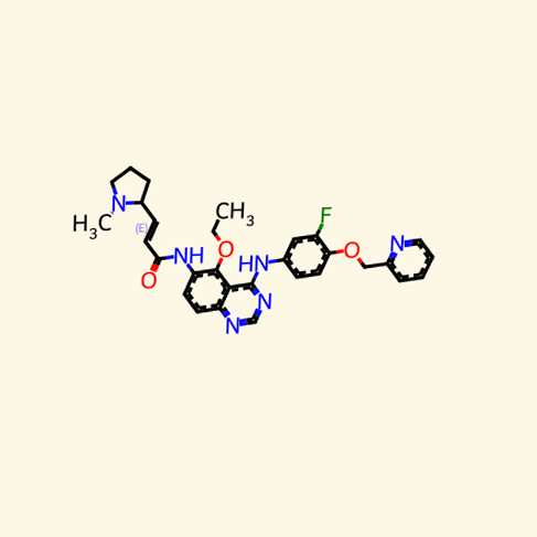 CCOc1c(NC(=O)/C=C/C2CCCN2C)ccc2ncnc(Nc3ccc(OCc4ccccn4)c(F)c3)c12